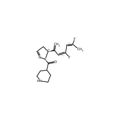 C=C(/C=C(F)\C=C(/C)F)[C@@H]1CC=NN1C(=O)C1CCNCC1